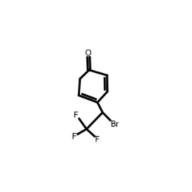 O=C1C=CC(C(Br)C(F)(F)F)=CC1